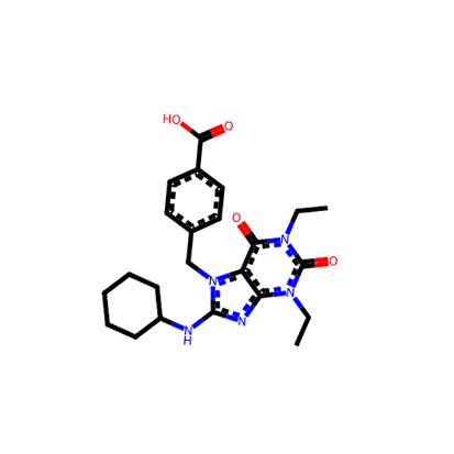 CCn1c(=O)c2c(nc(NC3CCCCC3)n2Cc2ccc(C(=O)O)cc2)n(CC)c1=O